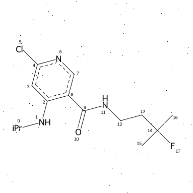 CC(C)Nc1cc(Cl)ncc1C(=O)NCCC(C)(C)F